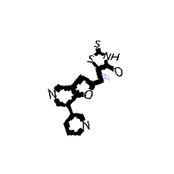 O=C1NC(=S)S/C1=C\c1cc2cncc(-c3cccnc3)c2o1